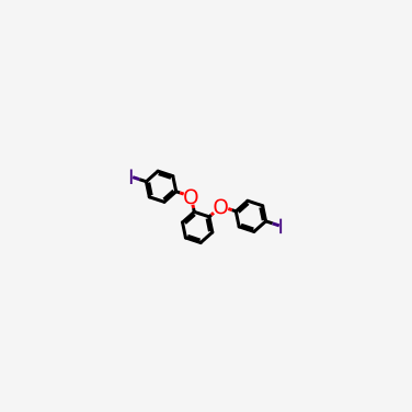 Ic1ccc(Oc2ccccc2Oc2ccc(I)cc2)cc1